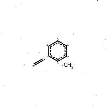 [CH3].[CH]=C.[c]1ccccc1